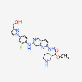 COC(=O)[C@H]1CNCC[C@@H]1Nc1ccc2cnc(Nc3ccc(-n4ccc(CO)n4)cc3F)cc2n1